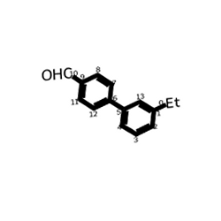 CCc1cccc(-c2ccc(C=O)cc2)c1